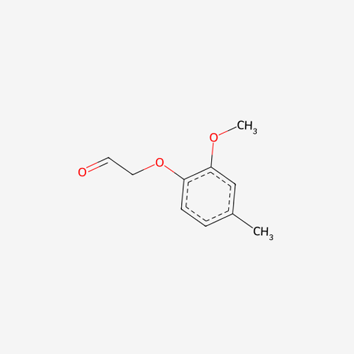 COc1cc(C)ccc1OCC=O